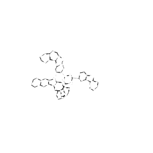 c1ccc(-c2nc(-c3ccc4oc5ccccc5c4c3)nc(-c3cc4sc5ccc6ccccc6c5c4cc3-n3c4cc5ccccc5cc4c4cc5ccccc5cc43)n2)cc1